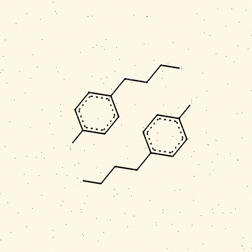 NCCCc1ccc(F)cc1.Nc1ccc(CCCF)cc1